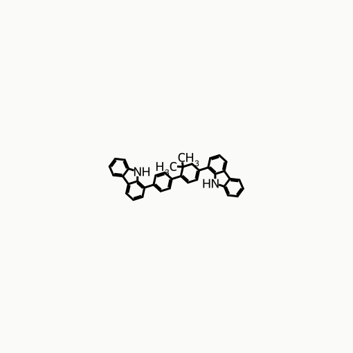 CC1(C)CC(c2cccc3c2[nH]c2ccccc23)=CC=C1c1ccc(-c2cccc3c2[nH]c2ccccc23)cc1